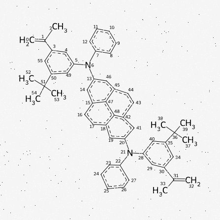 C=C(C)c1cc(N(c2ccccc2)c2cc3ccc4cc(N(c5ccccc5)c5cc(C(=C)C)cc(C(C)(C)C)c5)cc5ccc(c2)c3c45)cc(C(C)(C)C)c1